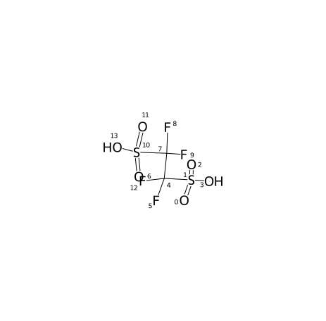 O=S(=O)(O)C(F)(F)C(F)(F)S(=O)(=O)O